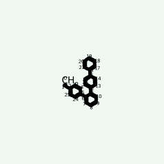 C=Cc1ccc(-c2ccccc2-c2ccc(-c3ccccc3)cc2)cc1